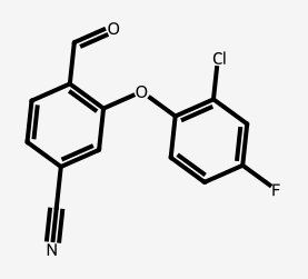 N#Cc1ccc(C=O)c(Oc2ccc(F)cc2Cl)c1